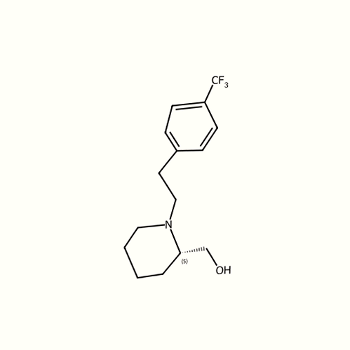 OC[C@@H]1CCCCN1CCc1ccc(C(F)(F)F)cc1